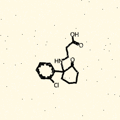 O=C(O)CCNC1(c2ccccc2Cl)CCCCC1=O